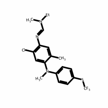 CCN(C)C=Nc1cc(C)c(N(C)c2ccc(SC(F)(F)F)cc2)cc1Cl